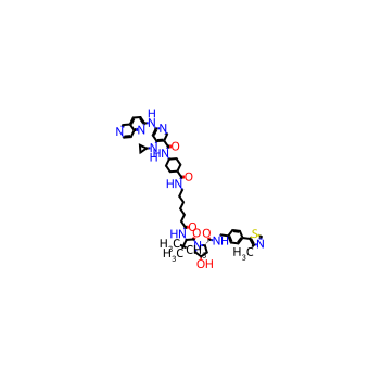 Cc1ncsc1-c1ccc(CNC(=O)[C@@H]2C[C@@H](O)CN2C(=O)[C@@H](NC(=O)CCCCCCNC(=O)C2CCC(NC(=O)c3cnc(Nc4ccc5cnccc5n4)cc3NC3CC3)CC2)C(C)(C)C)cc1